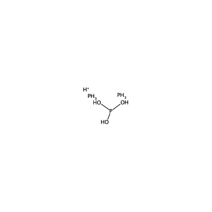 OP(O)O.P.P.[H+]